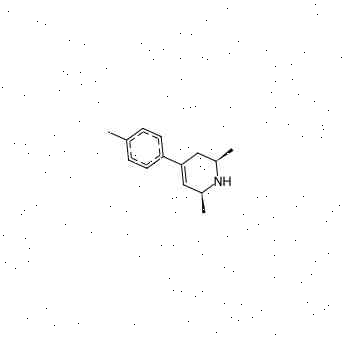 Cc1ccc(C2=C[C@H](C)N[C@H](C)C2)cc1